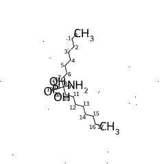 CCCCCCCCC(N)(CCCCCCCC)P(=O)(O)O